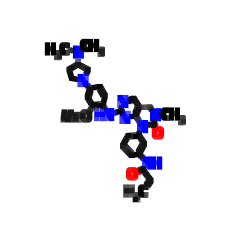 C=CC(=O)Nc1cccc(N2C(=O)N(C)Cc3cnc(Nc4ccc(N5CCC(N(C)C)C5)cc4OC)nc32)c1